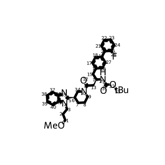 COCCCn1c([C@@H]2CCCN(C(=O)C[C@@H](Cc3ccc(-c4ccccc4F)cc3)NC(=O)OC(C)(C)C)C2)nc2ccccc21